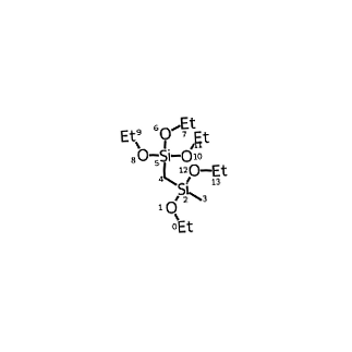 CCO[Si](C)(C[Si](OCC)(OCC)OCC)OCC